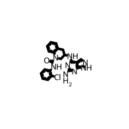 Nc1nc(NC2Cc3ccccc3N(C(=O)Nc3ccccc3Cl)C2)c2cn[nH]c2n1